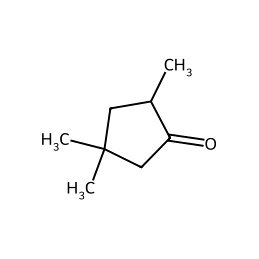 CC1CC(C)(C)CC1=O